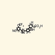 N#Cc1cc(OC(F)(F)F)cc(-c2nc(-c3ccc4[nH]c5c(c4c3)CCN[C@H]5CC(=O)O)no2)c1